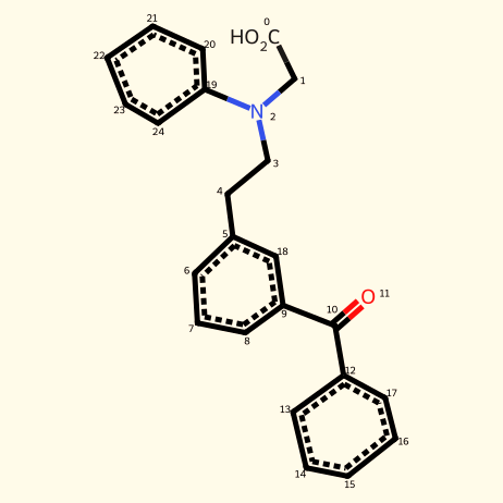 O=C(O)CN(CCc1cccc(C(=O)c2ccccc2)c1)c1ccccc1